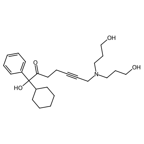 O=C(CCC#CCN(CCCO)CCCO)C(O)(c1ccccc1)C1CCCCC1